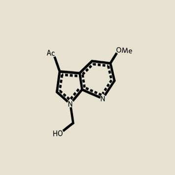 COc1cnc2c(c1)c(C(C)=O)cn2CO